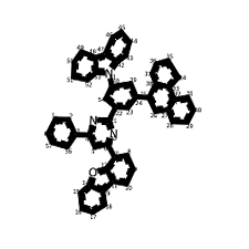 c1ccc(-c2cc(-c3cccc4c3oc3ccccc34)nc(-c3cc(-c4cc5ccccc5c5ccccc45)cc(-n4c5ccccc5c5ccccc54)c3)n2)cc1